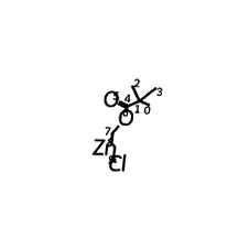 CC(C)(C)C(=O)O[CH2][Zn][Cl]